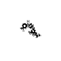 C=C(OC)C(F)C=C(CCOc1cnc(NC2=CCC(N(C)C)CC=C2)cn1)/C(F)=C(\C)OC